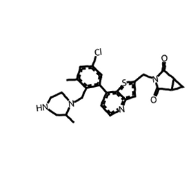 Cc1cc(Cl)cc(-c2ccnc3cc(CN4C(=O)C5CC5C4=O)sc23)c1CN1CCNCC1C